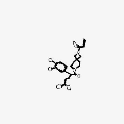 C=CC(=O)N1CC2(CCN(C(=O)C(CC=C(Cl)Cl)c3ccc(Cl)c(Cl)c3)CC2)C1